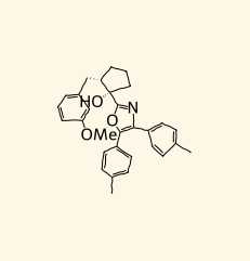 COc1cccc(C[C@@H]2CCC[C@@]2(O)c2nc(-c3ccc(C)cc3)c(-c3ccc(C)cc3)o2)c1